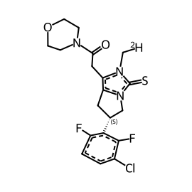 [2H]Cn1c(CC(=O)N2CCOCC2)c2n(c1=S)C[C@H](c1c(F)ccc(Cl)c1F)C2